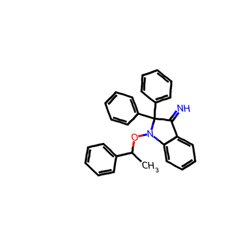 CC(ON1c2ccccc2C(=N)C1(c1ccccc1)c1ccccc1)c1ccccc1